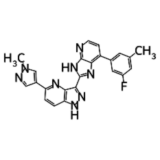 Cc1cc(F)cc(-c2ccnc3[nH]c(-c4n[nH]c5ccc(-c6cnn(C)c6)nc45)nc23)c1